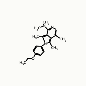 CCOc1ccc(-n2c(C)c3c(C)nnc(N(C)C)c3c2C)cc1